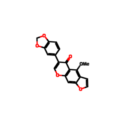 COc1c2ccoc2cc2occ(-c3ccc4c(c3)OCO4)c(=O)c12